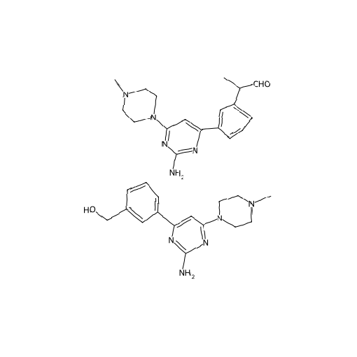 CC(C=O)c1cccc(-c2cc(N3CCN(C)CC3)nc(N)n2)c1.CN1CCN(c2cc(-c3cccc(CO)c3)nc(N)n2)CC1